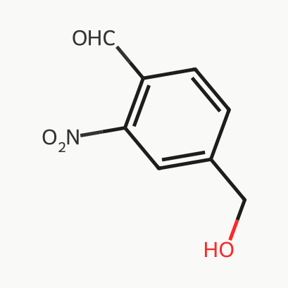 O=Cc1ccc(CO)cc1[N+](=O)[O-]